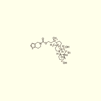 CC[C@H]1[C@@H](O)[C@@H]2[C@H](CC[C@]3(C)C([C@H](C)CCOC(=O)N4CCc5sccc5C4)CC[C@@H]23)[C@@]2(C)CC[C@@H](O)C[C@@H]12